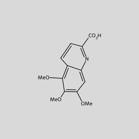 COc1cc2nc(C(=O)O)ccc2c(OC)c1OC